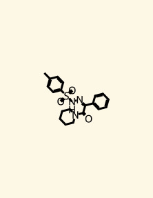 Cc1ccc(S(=O)(=O)N/N=C(\C(=O)N2CCCCC2)c2ccccc2)cc1